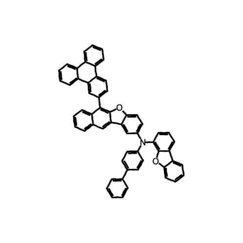 c1ccc(-c2ccc(N(c3ccc4oc5c(-c6ccc7c8ccccc8c8ccccc8c7c6)c6ccccc6cc5c4c3)c3cccc4c3oc3ccccc34)cc2)cc1